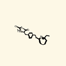 CCc1cccc(CCc2ccc(CC3NC(=O)SC3=O)cc2)n1